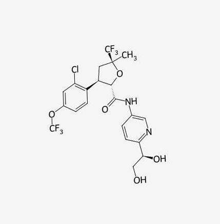 C[C@@]1(C(F)(F)F)C[C@H](c2ccc(OC(F)(F)F)cc2Cl)[C@@H](C(=O)Nc2ccc([C@@H](O)CO)nc2)O1